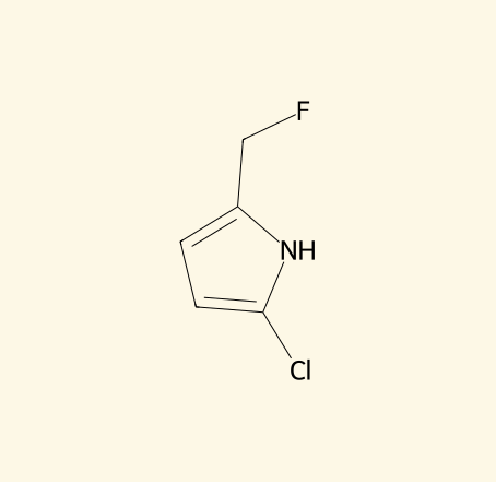 FCc1ccc(Cl)[nH]1